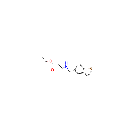 CCOC(=O)CCNCc1ccc2sccc2c1